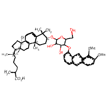 COc1ccc2cc3cccc(OC4C(CO)OC(O[C@@H]5CC[C@@]6(C)C(=CCC7=C6CC[C@]6(C)[C@@H]([C@H](C)CCCC(C)C(=O)O)CC[C@@]76C)C5(C)C)C(O)C4O)c3cc2c1OC